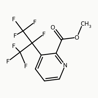 COC(=O)c1ncccc1C(F)(C(F)(F)F)C(F)(F)F